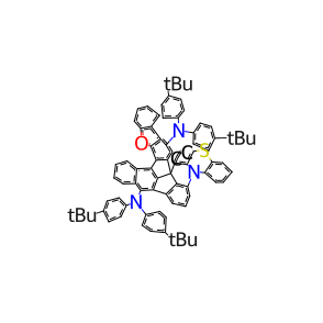 CC(C)(C)c1ccc(N(c2ccc(C(C)(C)C)cc2)c2c3c4c(c5ccccc25)-c2c(cc(N(c5ccc(C(C)(C)C)cc5)c5ccc(C(C)(C)C)cc5)c5c2oc2ccccc25)C42c4cccc5c4N(c4ccccc4S5)c4cccc-3c42)cc1